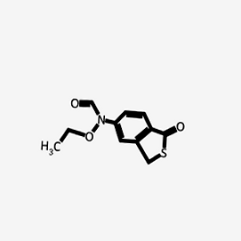 CCON(C=O)c1ccc2c(c1)CSC2=O